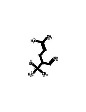 CCC(C)(C)C(C=N)CC=C(C)C